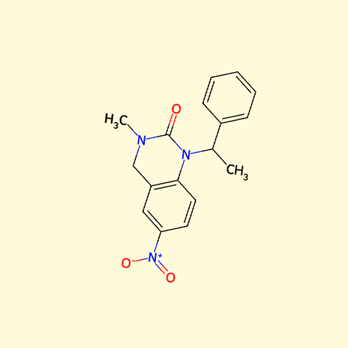 CC(c1ccccc1)N1C(=O)N(C)Cc2cc([N+](=O)[O-])ccc21